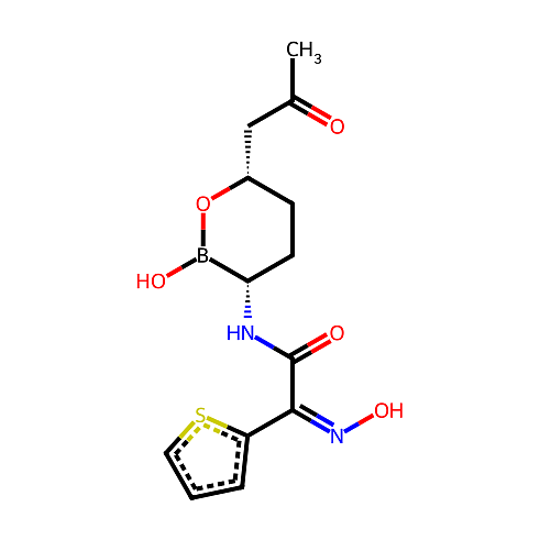 CC(=O)C[C@@H]1CC[C@H](NC(=O)/C(=N\O)c2cccs2)B(O)O1